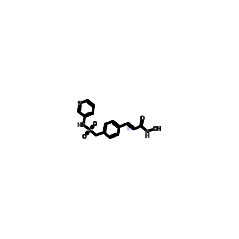 O=C(/C=C/c1ccc(CS(=O)(=O)Nc2cccnc2)cc1)NO